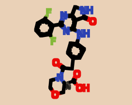 O=C1NCc2nc(-c3c(F)cccc3F)nc(Nc3ccc(CC(=O)N4CCOC[C@H]4C(=O)O)cc3)c21